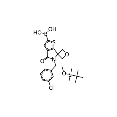 CC(C)(C)[Si](C)(C)OC[C@H](c1cccc(Cl)c1)N1C(=O)c2cc(B(O)O)sc2C12COC2